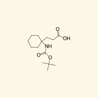 CC(C)(C)OC(=O)NC1(CCC(=O)O)CCCCC1